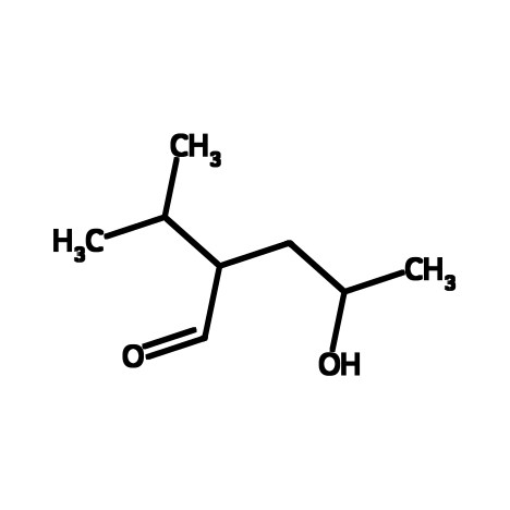 CC(O)CC(C=O)C(C)C